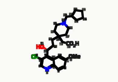 COc1ccc2ncc(Cl)c([C@H](O)CCC3(CC(=O)O)CCN(CC4CCCC4)CC3)c2c1